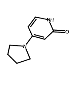 O=c1cc(N2CCCC2)cc[nH]1